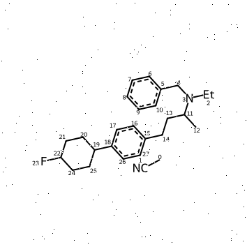 CC#N.CCN(Cc1ccccc1)C(C)CCc1ccc(C2CCC(F)CC2)cc1